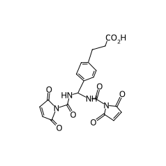 O=C(O)CCc1ccc(C(NC(=O)N2C(=O)C=CC2=O)NC(=O)N2C(=O)C=CC2=O)cc1